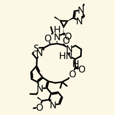 CCO[C@@H]1C2=NC(CS2)c2ccc3c(c2)c(c(-c2cccnc2[C@H](C)OC)n3CC)CC(C)(C)COC(=O)[C@@H]2CCCN(N2)C(=O)[C@H]1NC(=O)[C@@H]1[C@@H](C)[C@H]1c1cn(C)cn1